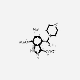 COc1ccc(C(C)N2CCOCC2)c2c(C(=O)[O-])n[nH]c12.[Na+]